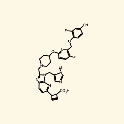 CCn1cncc1Cn1c(CN2CCC(Oc3ccc(F)c(COc4ccc(C#N)cc4F)n3)CC2)nc2ccc(C3C#CC3C(=O)O)nc21